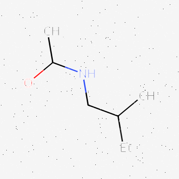 CCC(C)CNC(C)[O]